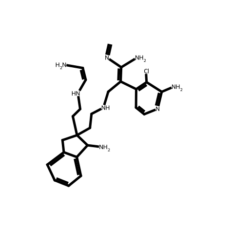 C=N/C(N)=C(\CNCCC1(CCN/C=C\N)Cc2ccccc2C1N)c1ccnc(N)c1Cl